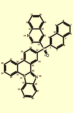 O=P(c1ccc2ccccc2c1)(c1cnc2ccccc2c1)c1ccc2c3ccccc3n3c4ccccc4nc3c2c1